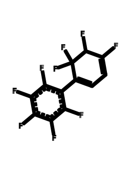 FC1=CC=C(c2c(F)c(F)c(F)c(F)c2F)C(F)(F)C1F